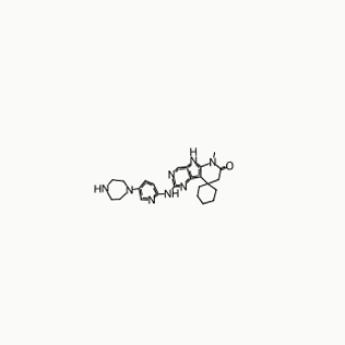 CN1C(=O)CC2(CCCCC2)c2c1[nH]c1cnc(Nc3ccc(N4CCNCC4)cn3)nc21